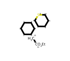 C1CCCCC1.C1CCSCC1.CCOC(C)=O